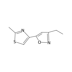 CCc1cc(-c2csc(C)n2)on1